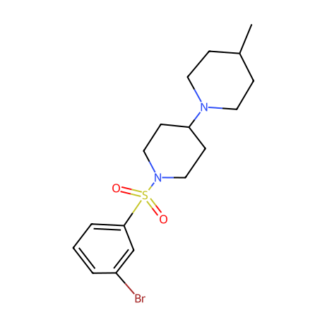 CC1CCN(C2CCN(S(=O)(=O)c3cccc(Br)c3)CC2)CC1